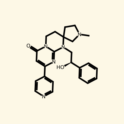 CN1CCC2(CCn3c(nc(-c4ccncc4)cc3=O)N2C[C@H](O)c2ccccc2)C1